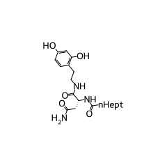 CCCCCCCC(=O)N[C@H](CC(N)=O)C(=O)NCCc1ccc(O)cc1O